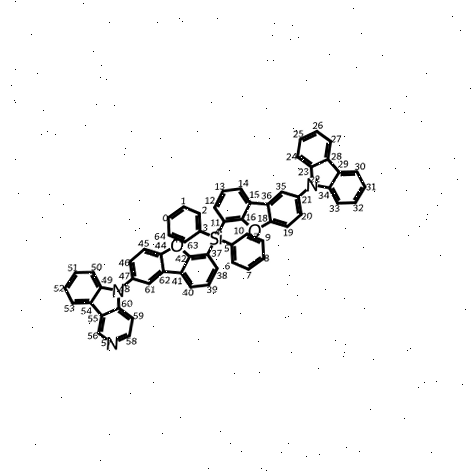 c1ccc([Si](c2ccccc2)(c2cccc3c2oc2ccc(-n4c5ccccc5c5ccccc54)cc23)c2cccc3c2oc2ccc(-n4c5ccccc5c5cnccc54)cc23)cc1